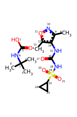 CC(C)(C)NC(=O)O.Cc1noc(C)c1NC(=O)NS(=O)(=O)C1CC1